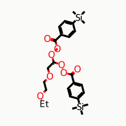 [CH2]COCCOC[C](OOC(=O)c1ccc([Si](C)(C)C)cc1)OOC(=O)c1ccc([Si](C)(C)C)cc1